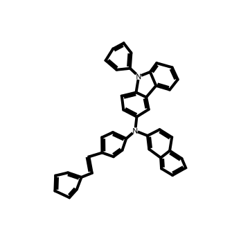 C(=C\c1ccc(N(c2ccc3ccccc3c2)c2ccc3c(c2)c2ccccc2n3-c2ccccc2)cc1)/c1ccccc1